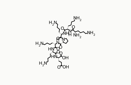 NCCCC[C@H](NC(=O)[C@H](CCCCN)NC(=O)[C@H]1CCCN1C(=O)[C@H](CCCCN)NC(=O)[C@H](CCCCN)NC(=O)[C@@H](N)CCCCN)C(=O)N[C@@H](CCC(=O)O)C(=O)O